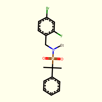 CCN(Cc1ccc(Br)cc1F)S(=O)(=O)C(C)(C)c1ccccc1